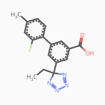 CCC1(c2cc(C(=O)O)cc(-c3ccc(C)cc3F)c2)N=NN=N1